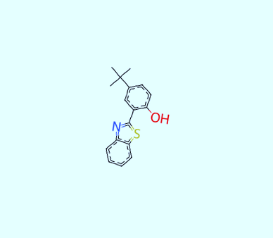 CC(C)(C)c1ccc(O)c(-c2nc3ccccc3s2)c1